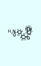 NC(=O)c1cccc(-c2cccc(C(=O)c3ccc4nccnc4c3)c2)c1